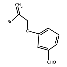 C=C(Br)COc1cccc(C=O)c1